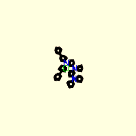 Clc1c(N(c2ccc(-c3ccccc3)cc2)c2ccc(-c3ccccc3)cc2)cccc1N(c1ccccc1)c1cccc(N(c2c#cccc2)c2ccccc2)c1